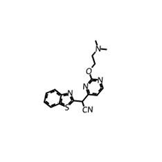 CN(C)CCOc1nccc(C(C#N)c2nc3ccccc3s2)n1